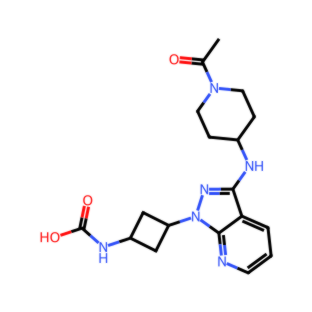 CC(=O)N1CCC(Nc2nn(C3CC(NC(=O)O)C3)c3ncccc23)CC1